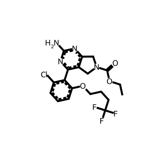 CCOC(=O)N1Cc2nc(N)nc(-c3c(Cl)cccc3OCCCC(F)(F)F)c2C1